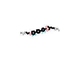 C=CCCC1COC(c2ccc(-c3ccc(-c4ccc(OCCCC)c(F)c4F)cc3)c(F)c2F)OC1